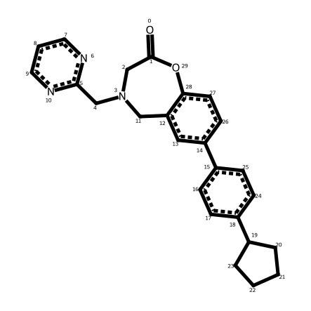 O=C1CN(Cc2ncccn2)Cc2cc(-c3ccc(C4CCCC4)cc3)ccc2O1